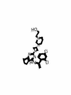 CC(Nc1nc(N2CC([C@H]3CCCN(CCO)C3)C2)nc2c1CCC2)c1ccc(Cl)cc1Cl